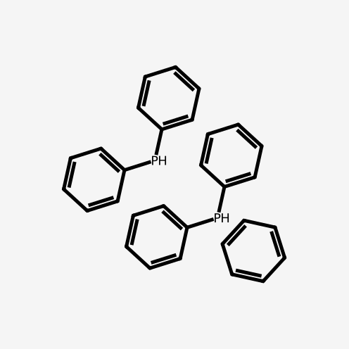 c1ccc(Pc2ccccc2)cc1.c1ccc(Pc2ccccc2)cc1.c1ccccc1